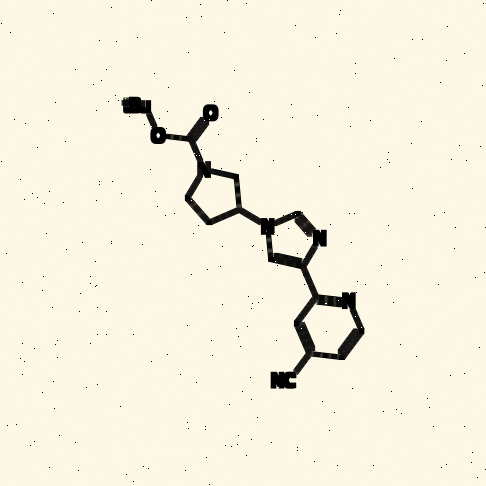 CC(C)(C)OC(=O)N1CCC(n2cnc(-c3cc(C#N)ccn3)c2)C1